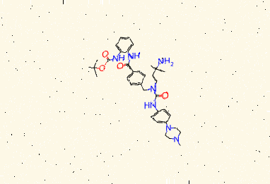 CN1CCN(c2ccc(NC(=O)N(CCC(C)(C)N)Cc3ccc(C(=O)Nc4ccccc4NC(=O)OC(C)(C)C)cc3)cc2)CC1